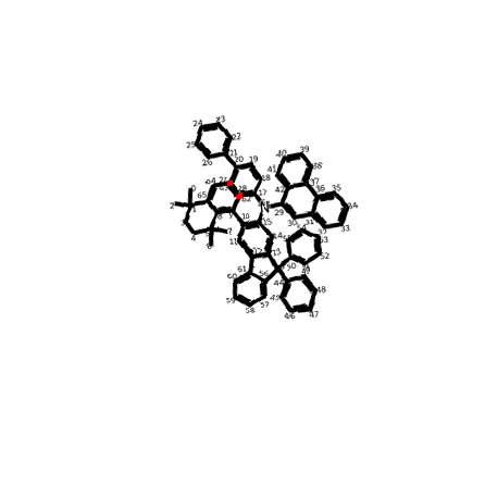 CC1(C)CCC(C)(C)c2c(-c3cc4c(cc3N(c3ccc(-c5ccccc5)cc3)c3cc5ccccc5c5ccccc35)C(c3ccccc3)(c3ccccc3)c3ccccc3-4)cccc21